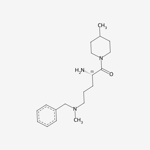 CC1CCN(C(=O)[C@@H](N)CCCN(C)Cc2ccccc2)CC1